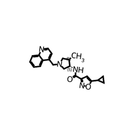 C[C@@H]1CN(Cc2ccnc3ccccc23)C[C@H]1NC(=O)c1cc(C2CC2)on1